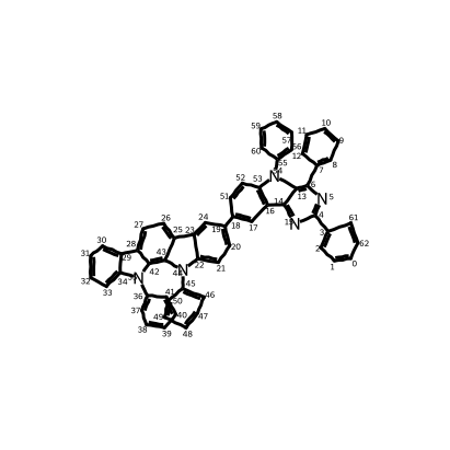 c1ccc(-c2nc(-c3ccccc3)c3c(n2)c2cc(-c4ccc5c(c4)c4ccc6c7ccccc7n(-c7ccccc7)c6c4n5-c4ccccc4)ccc2n3-c2ccccc2)cc1